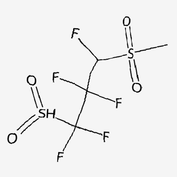 CS(=O)(=O)C(F)C(F)(F)C(F)(F)[SH](=O)=O